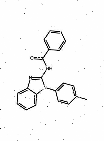 Cc1ccc(-n2c(NC(=O)c3ccccc3)nc3ccccc32)cc1